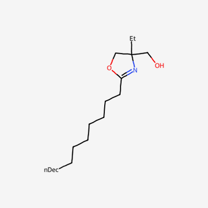 CCCCCCCCCCCCCCCCCC1=NC(CC)(CO)CO1